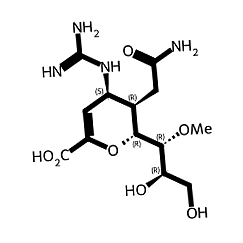 CO[C@@H]([C@@H]1OC(C(=O)O)=C[C@@H](NC(=N)N)[C@H]1CC(N)=O)[C@H](O)CO